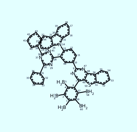 Bc1c(B)c(B)c(-c2nc(-c3ccc(-n4c5ccccc5c5ccccc54)c(-c4nc(-c5ccccc5)nc(-c5ccccc5)n4)c3)nc3c2sc2ccccc23)c(B)c1B